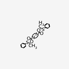 C[C@H](OC(=O)N1CCN(C(=O)O[C@@H](C)Sc2ccccc2)CC1)Sc1ccccc1